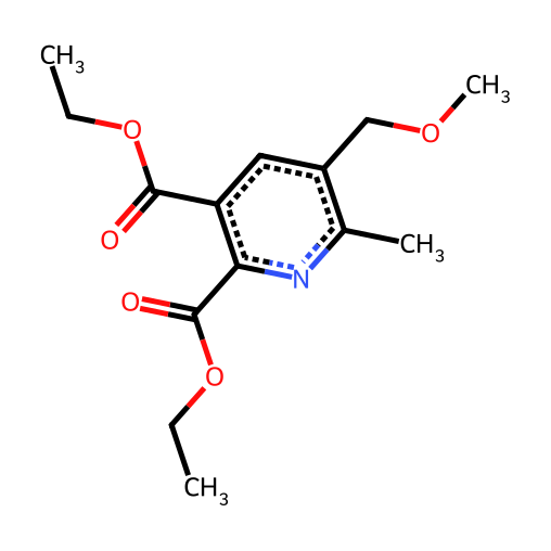 CCOC(=O)c1cc(COC)c(C)nc1C(=O)OCC